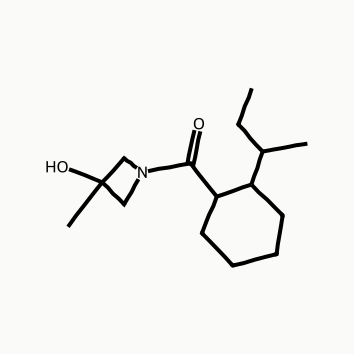 CCC(C)C1CCCCC1C(=O)N1CC(C)(O)C1